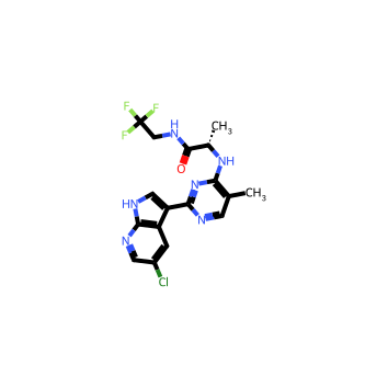 Cc1cnc(-c2c[nH]c3ncc(Cl)cc23)nc1N[C@@H](C)C(=O)NCC(F)(F)F